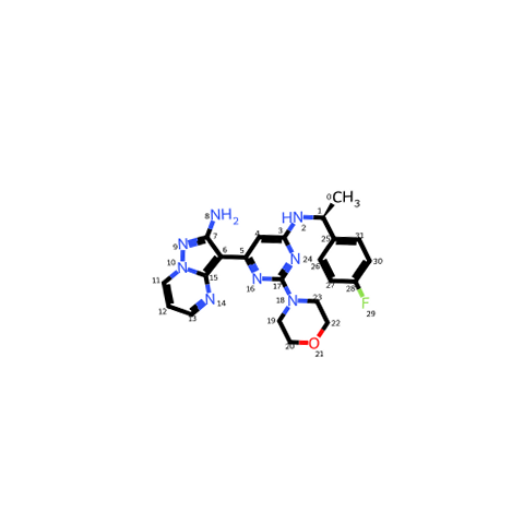 C[C@H](Nc1cc(-c2c(N)nn3cccnc23)nc(N2CCOCC2)n1)c1ccc(F)cc1